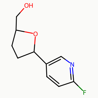 OCC1CCC(c2ccc(F)nc2)O1